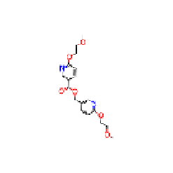 COCCOc1ccc(COC(=O)c2ccc(OCCOC)nc2)cn1